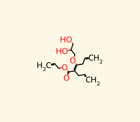 C=CCOC(=O)C(CC=C)=C(CC=C)OCC(O)CO